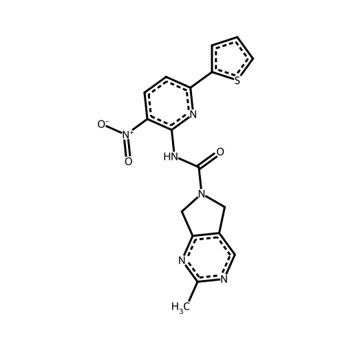 Cc1ncc2c(n1)CN(C(=O)Nc1nc(-c3cccs3)ccc1[N+](=O)[O-])C2